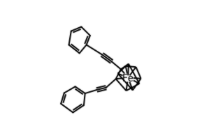 C(#C[C]12[CH]3[CH]4[CH]5[C]1(C#Cc1ccccc1)[Fe]43521678[CH]2[CH]1[CH]6[CH]7[CH]28)c1ccccc1